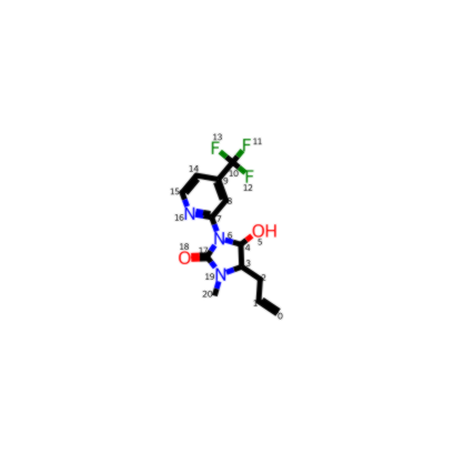 C=CCC1C(O)N(c2cc(C(F)(F)F)ccn2)C(=O)N1C